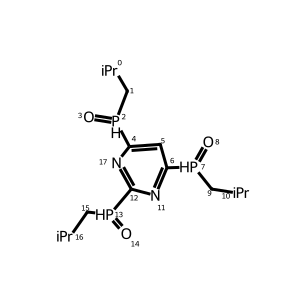 CC(C)C[PH](=O)c1cc([PH](=O)CC(C)C)nc([PH](=O)CC(C)C)n1